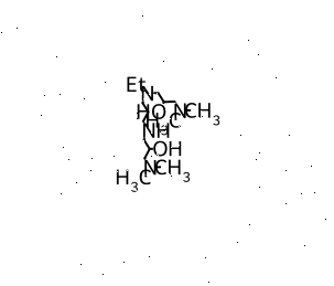 CCN(CCCNCC(O)CN(C)C)CC(O)CN(C)C